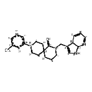 O=C1N(CC2=CNC3N=CC=CC23)CCCC12CCN(c1cncc(Cl)n1)CC2